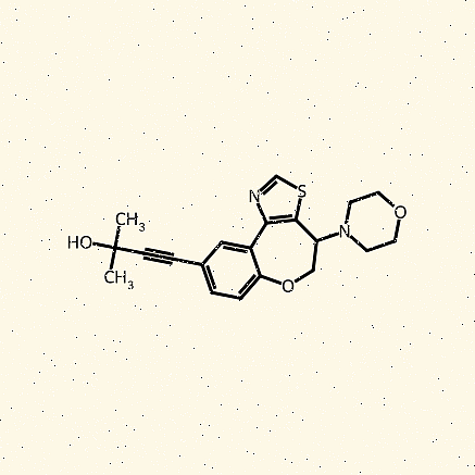 CC(C)(O)C#Cc1ccc2c(c1)-c1ncsc1C(N1CCOCC1)CO2